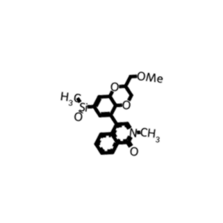 COCC1COC2C(c3cn(C)c(=O)c4ccccc34)=CC([Si](C)=O)=CC2O1